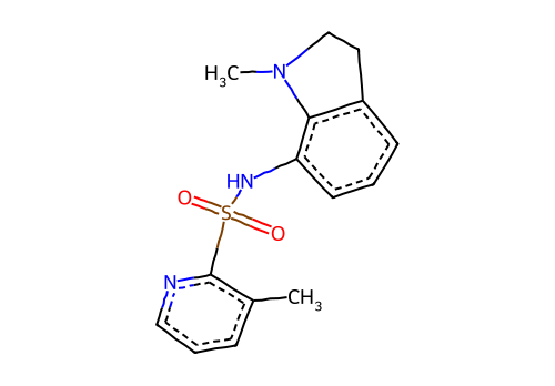 Cc1cccnc1S(=O)(=O)Nc1cccc2c1N(C)CC2